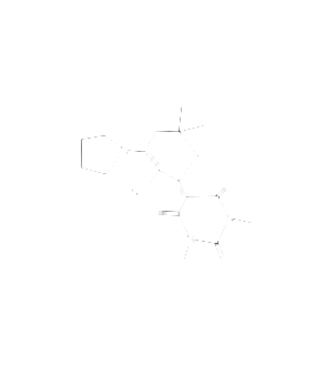 CN1C(=O)C(=C2CC(C)(C)CC(N3CCCC3)=C2C#N)C(=O)N(C)C1=O